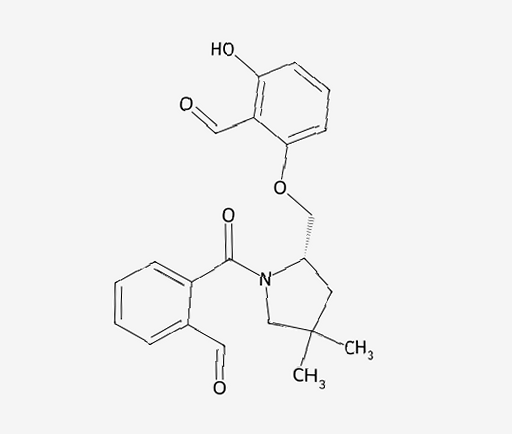 CC1(C)C[C@@H](COc2cccc(O)c2C=O)N(C(=O)c2ccccc2C=O)C1